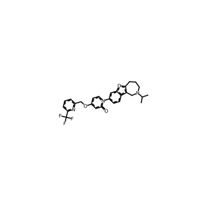 CC(C)N1CCCc2oc3cc(-n4ccc(OCc5cccc(C(F)(F)F)n5)cc4=O)ccc3c2C1